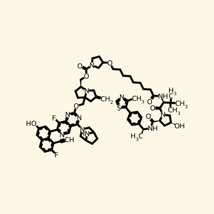 C#Cc1c(F)ccc2cc(O)cc(-c3ncc4c(N5CC6CCC(C5)N6)nc(OCC56CC[C@@H](COC(=O)N7CCC(OCCCCCCCCC(=O)N[C@H](C(=O)N8C[C@H](O)C[C@H]8C(=O)N[C@@H](C)c8ccc(-c9scnc9C)cc8)C(C)(C)C)C7)N5CC(=C)C6)nc4c3F)c12